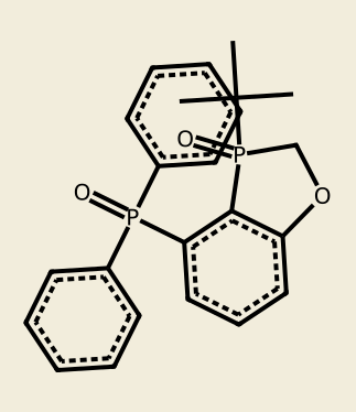 CC(C)(C)P1(=O)COc2cccc(P(=O)(c3ccccc3)c3ccccc3)c21